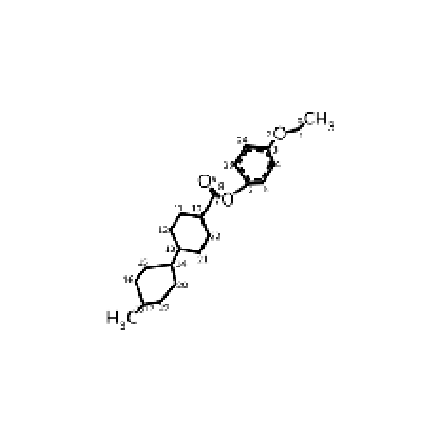 CCOc1ccc(OC(=O)C2CCC(C3CCC(C)CC3)CC2)cc1